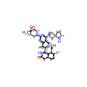 C#Cc1c(F)ccc2cc(=O)[nH]c(-c3ncc4c(N(C)C[C@H]5CCCN5)nc(N5CCC(C)(O)CC5)nc4c3F)c12